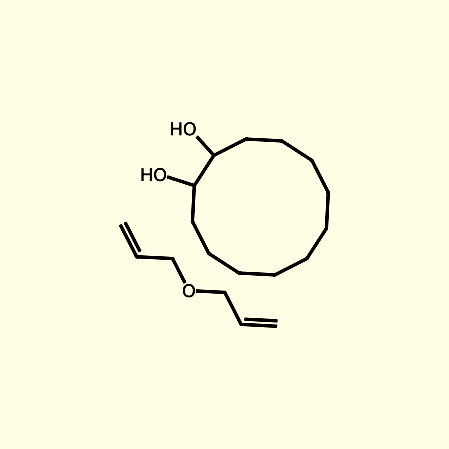 C=CCOCC=C.OC1CCCCCCCCCCC1O